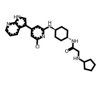 O=C(CNC1CCCC1)N[C@H]1CC[C@H](Nc2cc(-c3c[nH]c4ncccc34)cc(Cl)n2)CC1